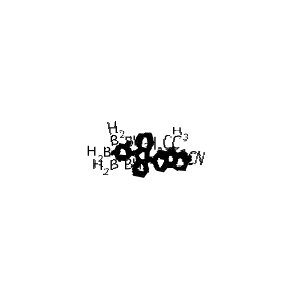 Bc1c(B)c(B)c(-c2c3ccccc3c(-c3ccc4c(c3)C(C)(C)c3cc(C#N)ccc3-4)c3ccccc23)c(B)c1B